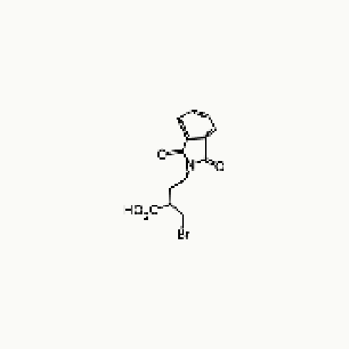 O=C(O)C(CBr)CCN1C(=O)c2ccccc2C1=O